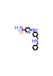 NC(=O)c1ccc(Nc2ccc(CNCc3ccccc3)cc2)nc1